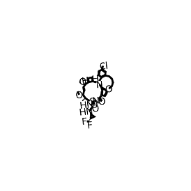 CO[C@H]1/C=C/[C@H](OC)[C@H](C)CS(=O)(NC(=O)N[C@H]2C[C@@H]2C(F)F)=NC(=O)c2ccc3c(c2)N(Cc2ccc(Cl)cc2CCCCO3)C[C@@H]2CC[C@H]21